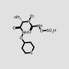 CCC[C@@H](C(=O)NOC1CCSCC1)N(CC)C(=O)NOS(=O)(=O)O